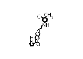 Cc1ccc(NCCCN2CC3CN(C(=O)c4ccc[nH]4)CC3C2)cc1Cl